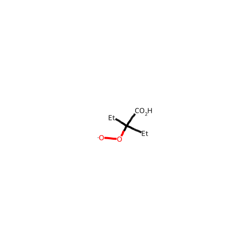 CCC(CC)(O[O])C(=O)O